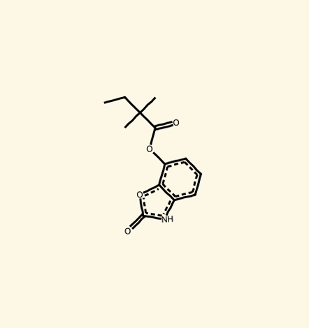 CCC(C)(C)C(=O)Oc1cccc2[nH]c(=O)oc12